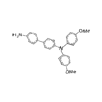 COc1ccc(N(c2ccc(OC)cc2)c2ccc(-c3ccc(N)cc3)cc2)cc1